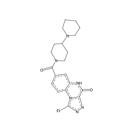 CCc1nnc2c(=O)[nH]c3cc(C(=O)N4CCC(N5CCCCC5)CC4)ccc3n12